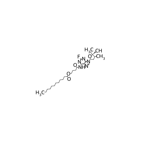 C#C[C@]1(CC)O[C@@H](n2cnc3c(NC(=O)CCCOC(=O)CCCCCCCCCCC)nc(F)nc32)C[C@@H]1C